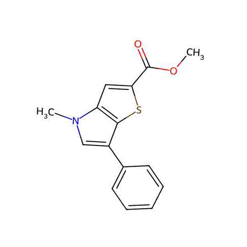 COC(=O)c1cc2c(s1)c(-c1ccccc1)cn2C